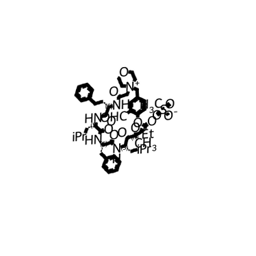 CCC(=O)Oc1ccc(C[N+]2(CC(=O)N[C@@H](CCc3ccccc3)C(=O)N[C@@H](CC(C)C)C(=O)N[C@@H](Cc3ccccc3)C(=O)N[C@@H](CC(C)C)C(=O)[C@@]3(C)CO3)CCOCC2)cc1C=O.CS(=O)(=O)[O-]